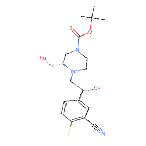 CC(C)(C)OC(=O)N1CCN(CC(O)c2ccc(F)c(C#N)c2)[C@H](CO)C1